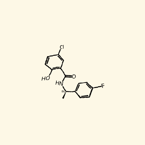 C[C@@H](NC(=O)c1cc(Cl)ccc1O)c1ccc(F)cc1